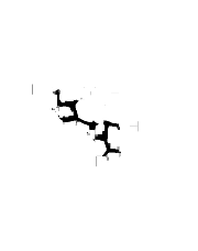 Cc1sc(-c2cnn(C)c2C(=O)O)nc1C(F)F